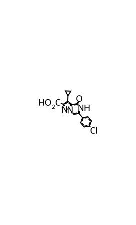 O=C(O)c1nn2cc(-c3ccc(Cl)cc3)[nH]c(=O)c2c1C1CC1